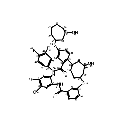 O=C(Nc1ccc(F)c(Cl)c1)c1cccc(SC2CCC(c3ccc(SC4CCCC[C@@H](O)C4)cc3C(=O)Nc3ccc(F)c(Cl)c3)C[C@@H](O)C2)c1